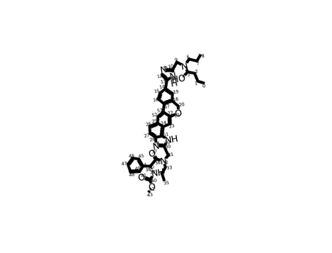 CCCC(O)N(CCC)Cc1ncc(-c2ccc3c(c2)COc2cc4c(ccc5nc(CN(CCC)C(=O)[C@H](NC(=O)OC)c6ccccc6)[nH]c54)cc2-3)[nH]1